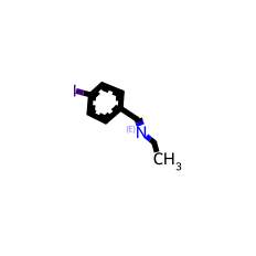 CC/N=C/c1ccc(I)cc1